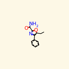 CCc1oc(C(N)=O)nc1-c1ccccc1